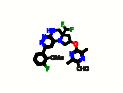 COc1c(F)cccc1-c1cc2c(nn1)NC[C@]1(C(F)F)C[C@@H](Oc3nc(C)c(C=O)nc3C)CN21